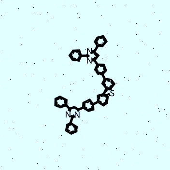 c1ccc(C2=NC(c3ccccc3)=NC(c3ccc(-c4ccc5sc6ccc(-c7ccc(-c8cc(-c9ccccc9)nc(-c9ccccc9)n8)cc7)cc6c5c4)cc3)C2)cc1